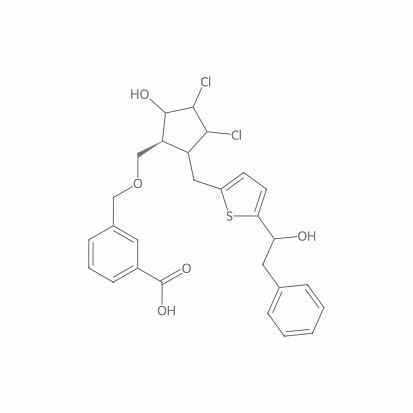 O=C(O)c1cccc(COC[C@H]2C(O)C(Cl)C(Cl)C2Cc2ccc(C(O)Cc3ccccc3)s2)c1